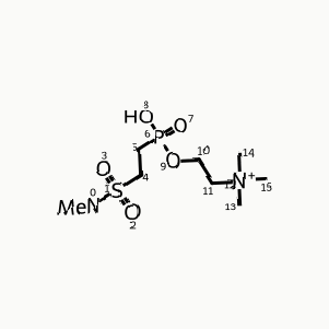 CNS(=O)(=O)CCP(=O)(O)OCC[N+](C)(C)C